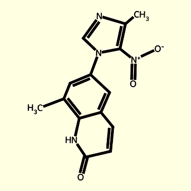 Cc1ncn(-c2cc(C)c3[nH]c(=O)ccc3c2)c1[N+](=O)[O-]